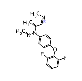 C=NN(C(=C)/C=N\C)c1ccc(Oc2c(F)cccc2F)cc1